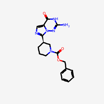 Nc1nn2c([C@@H]3CCCN(C(=O)OCc4ccccc4)C3)ncc2c(=O)[nH]1